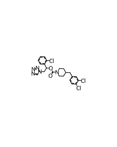 O=C(OC(Cn1cnnn1)c1ccccc1Cl)N1CCC(Cc2ccc(Cl)c(Cl)c2)CC1